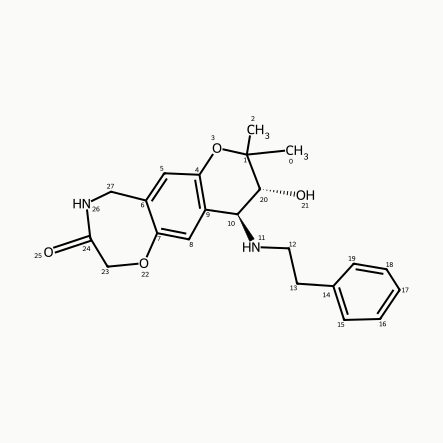 CC1(C)Oc2cc3c(cc2[C@H](NCCc2ccccc2)[C@H]1O)OCC(=O)NC3